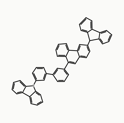 c1cc(-c2cccc(-n3c4ccccc4c4ccccc43)c2)cc(-c2cc3ccc(C4c5ccccc5-c5ccccc54)cc3c3ccccc23)c1